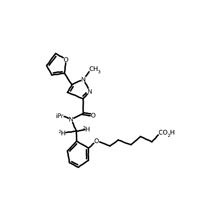 [2H]C([2H])(c1ccccc1OCCCCCC(=O)O)N(C(=O)c1cc(-c2ccco2)n(C)n1)C(C)C